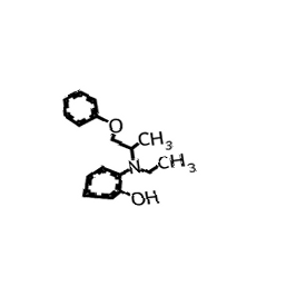 CCN(c1ccccc1O)C(C)COc1ccccc1